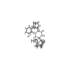 Cc1cccc(-n2nccc2C2CCC(C(=O)[C@@](C)(O)C(F)(F)F)CC2)c1